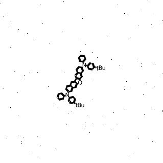 CC(C)(C)c1ccc(N(c2ccccc2)c2ccc3cc4c(cc3c2)oc2cc3cc(N(c5ccccc5)c5ccc(C(C)(C)C)cc5)ccc3cc24)cc1